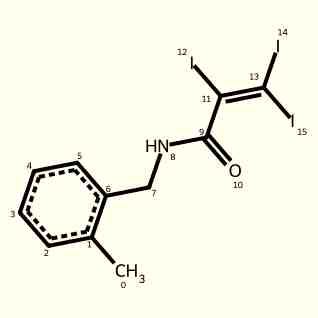 Cc1ccccc1CNC(=O)C(I)=C(I)I